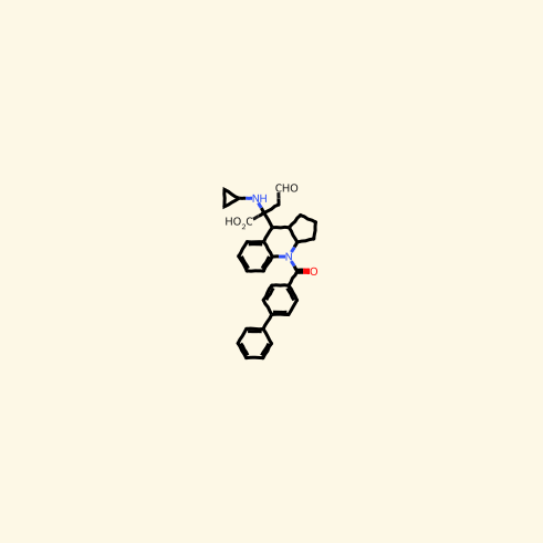 O=CCC(NC1CC1)(C(=O)O)C1c2ccccc2N(C(=O)c2ccc(-c3ccccc3)cc2)C2CCCC21